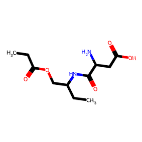 CCC(=O)OCC(CC)NC(=O)C(N)CC(=O)O